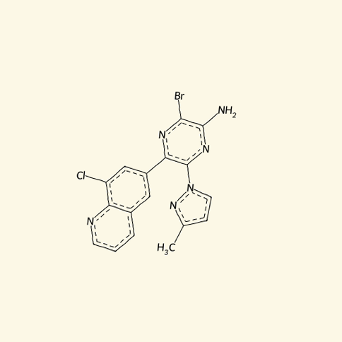 Cc1ccn(-c2nc(N)c(Br)nc2-c2cc(Cl)c3ncccc3c2)n1